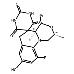 CC(C)C1O[C@H](C)CN2c3c(F)cc(C#N)cc3CC3(C(=O)NC(=O)NC3=O)[C@@H]12